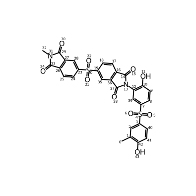 Cc1cc(S(=O)(=O)c2ccc(O)c(N3C(=O)c4ccc(S(=O)(=O)c5ccc6c(c5)C(=O)N(C)C6=O)cc4C3=O)c2)ccc1O